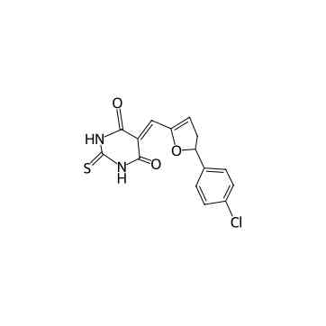 O=C1NC(=S)NC(=O)C1=CC1=CCC(c2ccc(Cl)cc2)O1